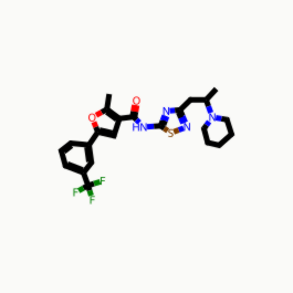 Cc1oc(-c2cccc(C(F)(F)F)c2)cc1C(=O)Nc1nc(CC(C)N2CCCCC2)ns1